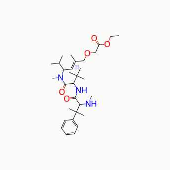 CCOC(=O)COC/C(C)=C/C(C(C)C)N(C)C(=O)C(NC(=O)C(NC)C(C)(C)c1ccccc1)C(C)(C)C